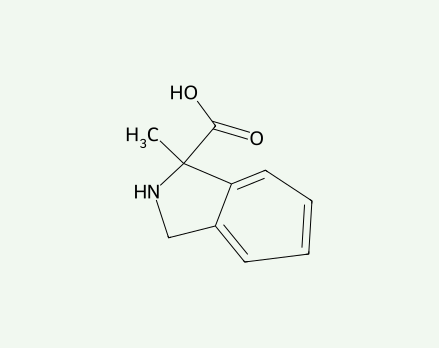 CC1(C(=O)O)NCc2ccccc21